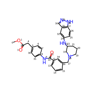 COC(=O)Cc1ccc(NC(=O)c2cccc(CN3CCCC(Nc4ccc5[nH]ncc5c4)C3)c2)cc1